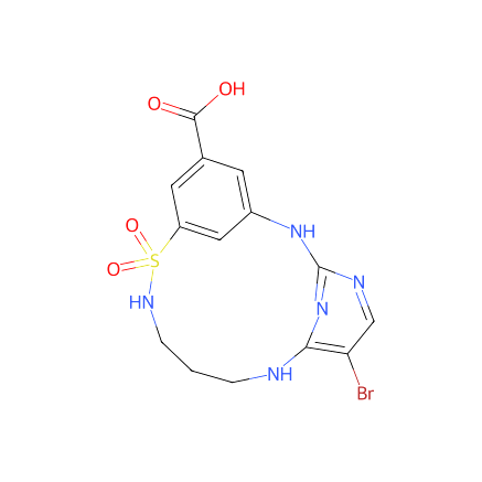 O=C(O)c1cc2cc(c1)S(=O)(=O)NCCCNc1nc(ncc1Br)N2